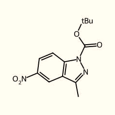 Cc1nn(C(=O)OC(C)(C)C)c2ccc([N+](=O)[O-])cc12